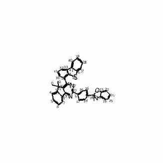 CC1(C)c2ccccc2-c2nc(-c3ccc(-c4nc5ccccc5o4)cc3)nc(-c3cccc4c3sc3ccccc34)c21